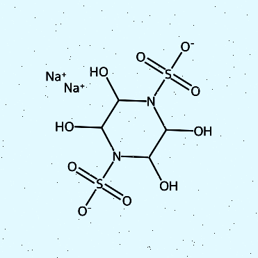 O=S(=O)([O-])N1C(O)C(O)N(S(=O)(=O)[O-])C(O)C1O.[Na+].[Na+]